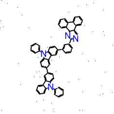 c1ccc(-n2c3ccccc3c3cc(-c4ccc5c(c4)c4cc(-c6cccc(-c7ncc8c9ccccc9c9ccccc9c8n7)c6)ccc4n5-c4ccccc4)ccc32)cc1